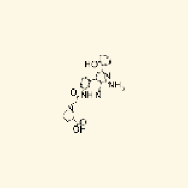 N#Cc1c(-c2cccc(NC(=O)CCN3CCCC(C(=O)O)C3)c2)cc(-c2ccccc2O)nc1N